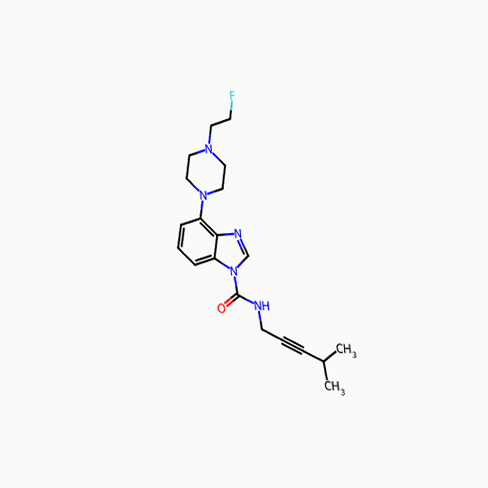 CC(C)C#CCNC(=O)n1cnc2c(N3CCN(CCF)CC3)cccc21